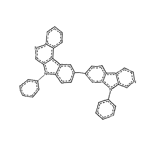 c1ccc(-n2c3cnccc3c3ccc(-c4ccc5c(c4)c4c6ccccc6ncc4n5-c4ccccc4)cc32)cc1